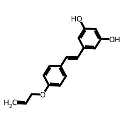 C=CCOc1ccc(/C=C/c2cc(O)cc(O)c2)cc1